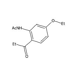 CCOc1ccc(C(=O)CC)c(NC(C)=O)c1